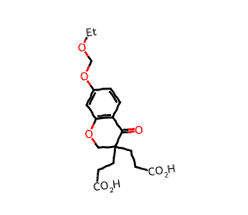 CCOCOc1ccc2c(c1)OCC(CCC(=O)O)(CCC(=O)O)C2=O